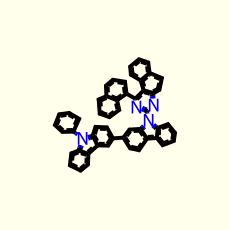 c1ccc(-n2c3ccccc3c3cc(-c4ccc5c6ccccc6n(-c6nc(-c7cccc8ccccc78)c7c(ccc8ccccc87)n6)c5c4)ccc32)cc1